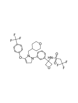 O=S(=O)(CC(F)(F)F)NC1(c2cccc(N3CC=C(Oc4ccc(C(F)(F)F)cc4)N3CC3CCOCC3)c2)COC1